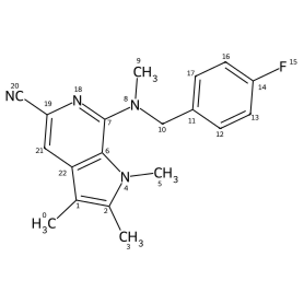 Cc1c(C)n(C)c2c(N(C)Cc3ccc(F)cc3)nc(C#N)cc12